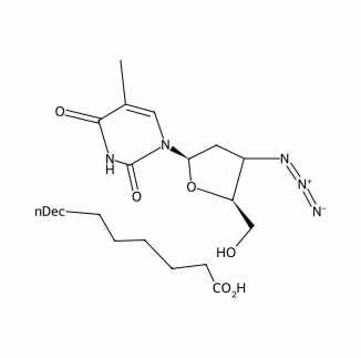 CCCCCCCCCCCCCCCC(=O)O.Cc1cn([C@H]2CC(N=[N+]=[N-])[C@@H](CO)O2)c(=O)[nH]c1=O